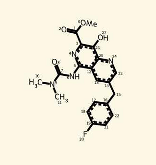 COC(=O)c1nc(NC(=O)N(C)C)c2cc(Cc3ccc(F)cc3)cnc2c1O